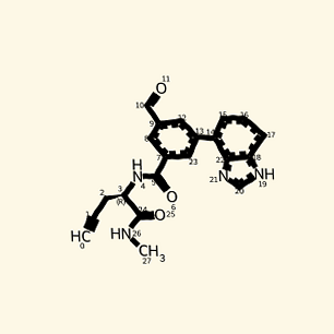 C#CC[C@@H](NC(=O)c1cc(C=O)cc(-c2cccc3[nH]cnc23)c1)C(=O)NC